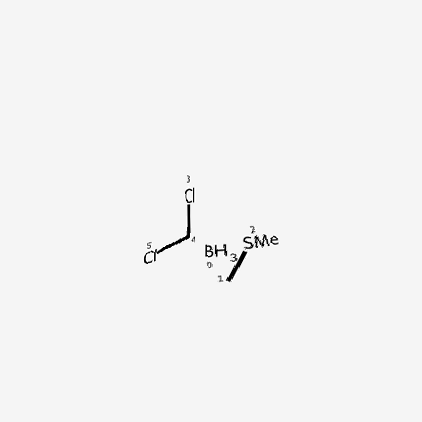 B.CSC.ClCCl